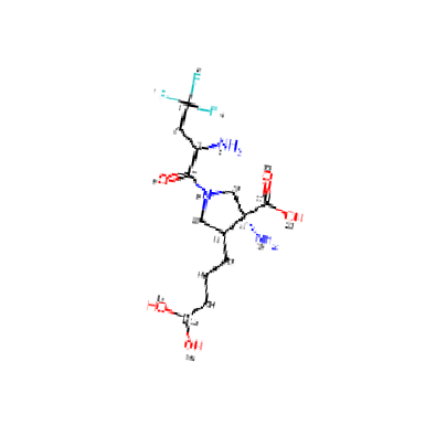 NC(CC(F)(F)F)C(=O)N1CC(CCCB(O)O)[C@](N)(C(=O)O)C1